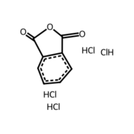 Cl.Cl.Cl.Cl.O=C1OC(=O)c2ccccc21